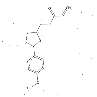 C=CC(=O)OCC1CSC(c2ccc(OC)cc2)S1